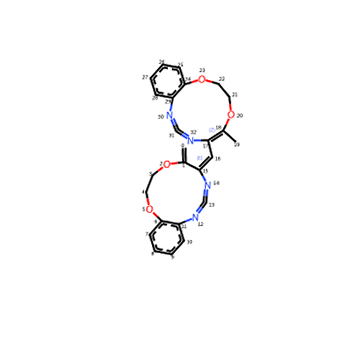 C=C1OCCOc2ccccc2N=C=N/C1=C/C1=C(\C)OCCOc2ccccc2N=C=N1